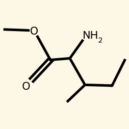 CCC(C)C(N)C(=O)OC